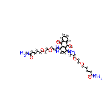 NC(=O)C=CCCOCCOCCNc1ccc(NCCOCCOCCC=CC(N)=O)c2c1C(=O)c1ccccc1C2=O